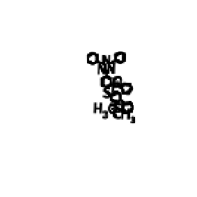 C[Si]1(C)c2ccccc2-c2cc3c(cc21)Sc1ccc(-c2nc(-c4ccccc4)nc(-c4ccccc4)n2)cc1P3(=O)c1ccccc1